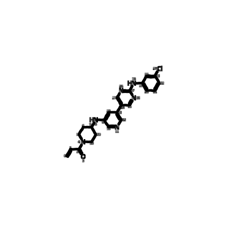 C=CC(=O)N1CCC(Nc2cncc(-c3cnc(Nc4cccc(Cl)c4)nc3)c2)CC1